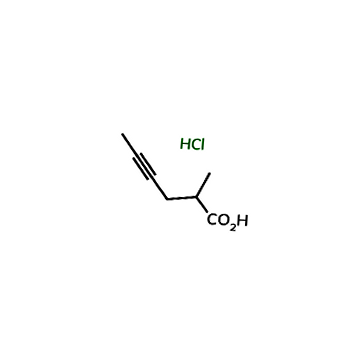 CC#CCC(C)C(=O)O.Cl